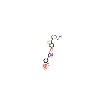 CS(=O)(=O)Oc1cccc(-c2cc(COc3ccc4c(CC(=O)O)csc4c3)no2)c1